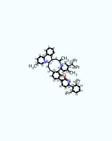 C=C1CC2c3ccccc3-c3ccc(C)c[n+]3C2CCc2ccc3c(oc4nc(-c5c(C(C)C)cccc5C(C)C)ccc43)c2-c2cc(C)c(C(C(C)C)C(C)C)c[n+]21